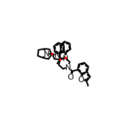 Cc1cc2cccc(C(=O)N3CCC(CCN4C5CCC4CC(n4c(C)nc6ccccc64)C5)(c4ccccc4)CC3)c2o1